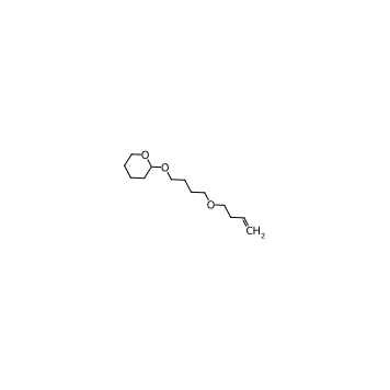 C=CCCOCCCCOC1CCCCO1